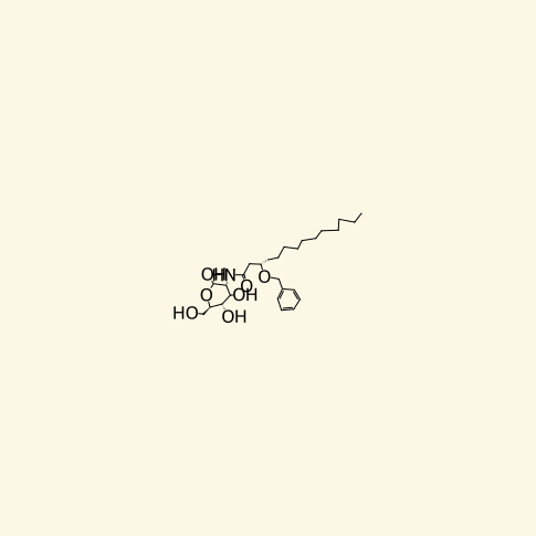 CCCCCCCCCCC[C@@H](CC(=O)N[C@H]1C(O)O[C@H](CO)[C@@H](O)[C@@H]1O)OCc1ccccc1